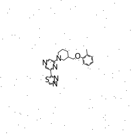 Cc1ccccc1OCC1CCCN(c2cncc(-c3nncs3)n2)C1